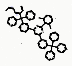 C=C/C(=C\C=C/C)C(c1ccccc1)(c1ccccc1)c1cccc(-c2cc(-c3cccc(C(c4ccccc4)(c4ccccc4)c4ccccc4)c3)nc(-c3c(C)cccc3C)n2)c1